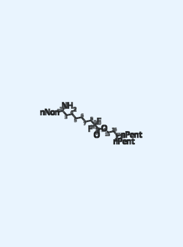 CCCCCCCCCC(N)CCCCCCC(F)(F)C(=O)OCCC(CCCCC)CCCCC